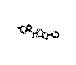 Cc1nc(-c2ccccn2)ncc1OC(=O)Nn1ccc2cc(F)cnc21